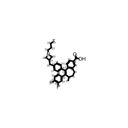 CC1CCc2cc(C(=O)O)ccc2C(c2ccc(CC3CN(CCCF)C3)cc2)=C1c1ccc(F)c(F)c1